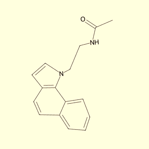 CC(=O)NCCn1ccc2ccc3ccccc3c21